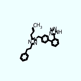 CC=CCc1nc(CCc2ccccc2)nn1Cc1ccc(-c2ccccc2-c2nnn[nH]2)cc1